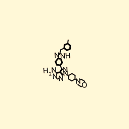 Cc1cccc(Cc2nc3ccc(-c4nn([C@H]5CC[C@H](N6CCOCC6)CC5)c5ncnc(N)c45)cc3[nH]2)c1